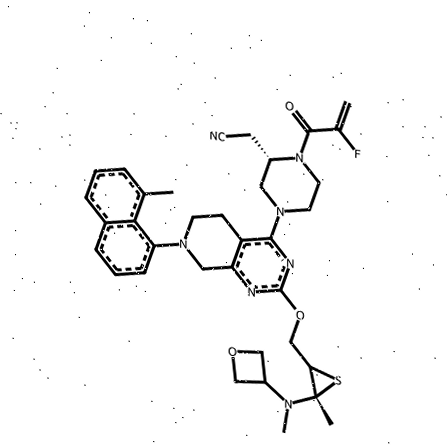 C=C(F)C(=O)N1CCN(c2nc(OCC3S[C@]3(C)N(C)C3COC3)nc3c2CCN(c2cccc4cccc(C)c24)C3)C[C@@H]1CC#N